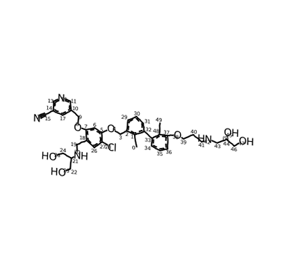 Cc1c(COc2cc(OCc3cncc(C#N)c3)c(CNC(CO)CO)cc2Cl)cccc1-c1cccc(OCCCNC[C@H](O)CO)c1C